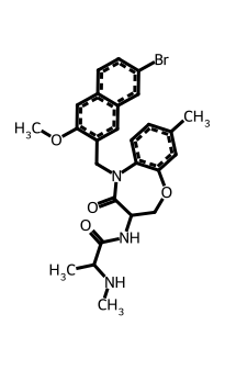 CNC(C)C(=O)NC1COc2cc(C)ccc2N(Cc2cc3cc(Br)ccc3cc2OC)C1=O